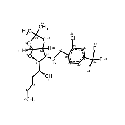 CCCC[C@H](O)[C@H]1O[C@@H]2OC(C)(C)O[C@@H]2[C@H]1OCc1ccc(C(F)(F)F)cc1Cl